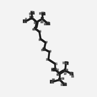 CCN(CC)C(=NCCCOCCCNC(N(CC)CC)=[N+](CC)CC)N(CC)CC